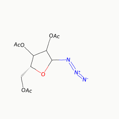 CC(=O)OC[C@H]1OC(N=[N+]=[N-])C(OC(C)=O)C1OC(C)=O